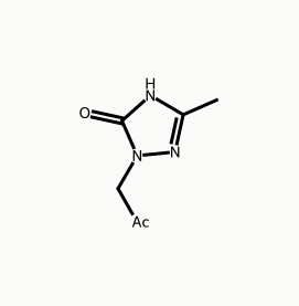 CC(=O)Cn1nc(C)[nH]c1=O